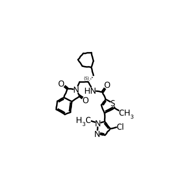 Cc1sc(C(=O)N[C@@H](CC2CCCCC2)CN2C(=O)c3ccccc3C2=O)cc1-c1c(Cl)cnn1C